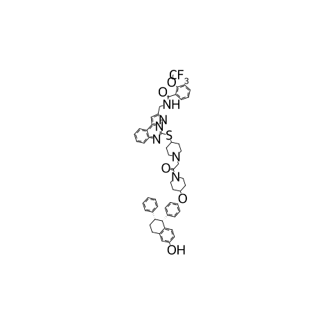 O=C(NCc1cc2c3ccccc3nc(SC3CCN(CC(=O)N4CCC(Oc5ccc([C@@H]6c7ccc(O)cc7CC[C@@H]6c6ccccc6)cc5)CC4)CC3)n2n1)c1ccccc1OC(F)(F)F